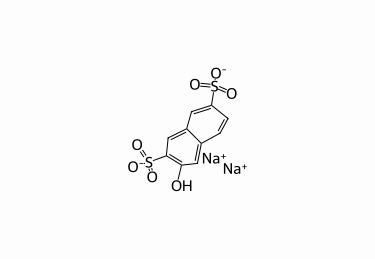 O=S(=O)([O-])c1ccc2cc(O)c(S(=O)(=O)[O-])cc2c1.[Na+].[Na+]